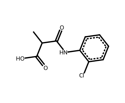 CC(C(=O)O)C(=O)Nc1ccccc1Cl